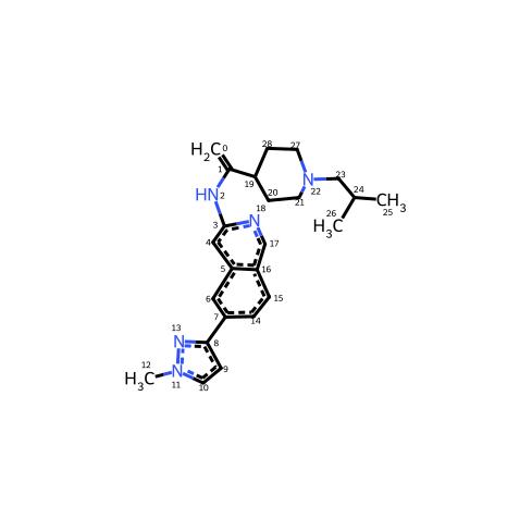 C=C(Nc1cc2cc(-c3ccn(C)n3)ccc2cn1)C1CCN(CC(C)C)CC1